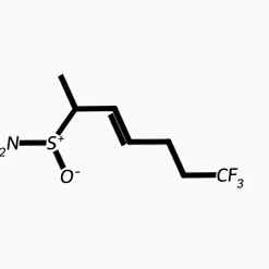 CC(C=CCCC(F)(F)F)[S+](N)[O-]